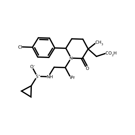 CC(C)C(CN[S+]([O-])C1CC1)N1C(=O)C(C)(CC(=O)O)CCC1c1ccc(Cl)cc1